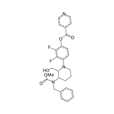 COC(=O)N(Cc1ccccc1)C1CCCN(c2ccc(OC(=O)c3ccncc3)c(F)c2F)C1CO